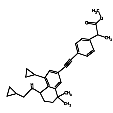 COC(=O)C(C)c1ccc(C#Cc2cc(C3CC3)c3c(c2)C(C)(C)CCC3NCC2CC2)cc1